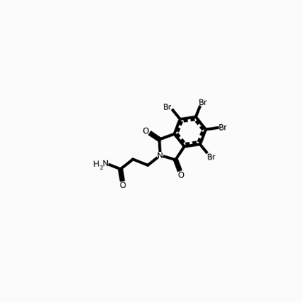 NC(=O)CCN1C(=O)c2c(Br)c(Br)c(Br)c(Br)c2C1=O